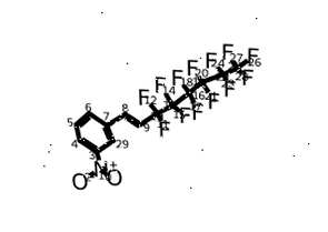 O=[N+]([O-])c1cccc(C=CC(F)(F)C(F)(F)C(F)(F)C(F)(F)C(F)(F)C(F)(F)F)c1